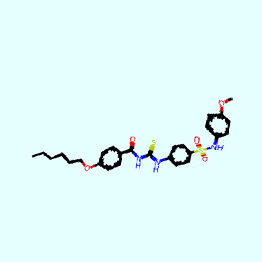 CCCCCCOc1ccc(C(=O)NC(=S)Nc2ccc(S(=O)(=O)Nc3ccc(OC)cc3)cc2)cc1